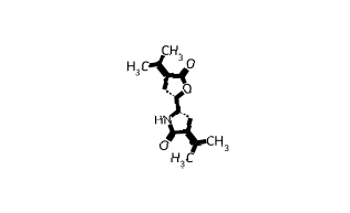 CC(C)=C1C[C@@H]([C@@H]2CC(=C(C)C)C(=O)O2)NC1=O